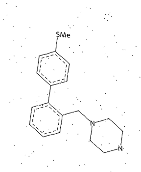 CSc1ccc(-c2ccccc2CN2CC[N]CC2)cc1